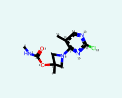 CNC(=O)OC1(C)CN(c2nc(Cl)ncc2C)C1